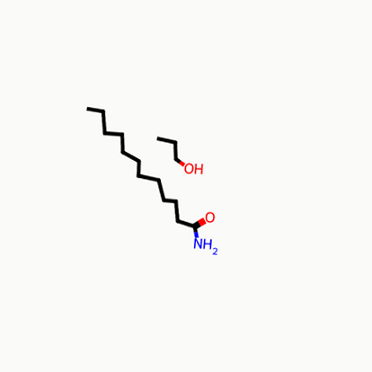 CCCCCCCCCCCC(N)=O.CCCO